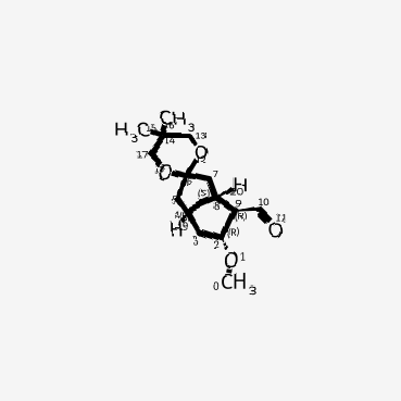 CO[C@@H]1C[C@@H]2CC3(C[C@@H]2[C@H]1C=O)OCC(C)(C)CO3